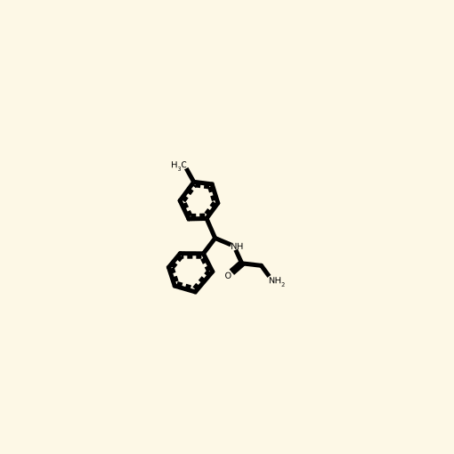 Cc1ccc(C(NC(=O)CN)c2ccccc2)cc1